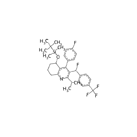 CC(C)c1nc2c(c(-c3ccc(F)cc3)c1C(F)c1ccc(C(F)(F)F)cc1)C(O[Si](C)(C)C(C)(C)C)CCC2